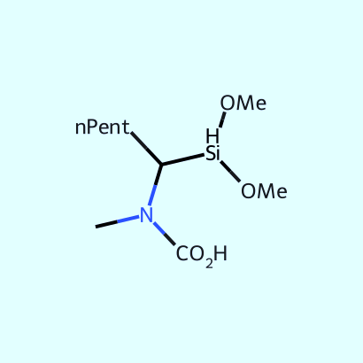 CCCCCC(N(C)C(=O)O)[SiH](OC)OC